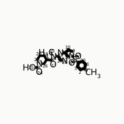 Cc1ccc(S(=O)(=O)n2ccc3nc(N(C)C(=O)C4CCCN(C(=O)O)C4)cnc32)cc1